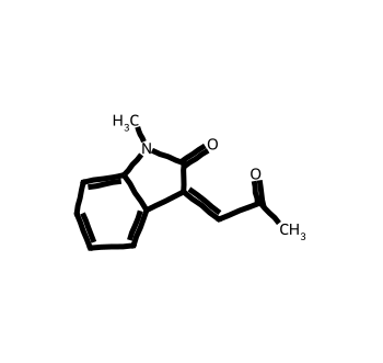 CC(=O)/C=C1\C(=O)N(C)c2ccccc21